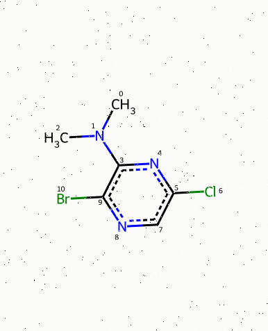 CN(C)c1nc(Cl)cnc1Br